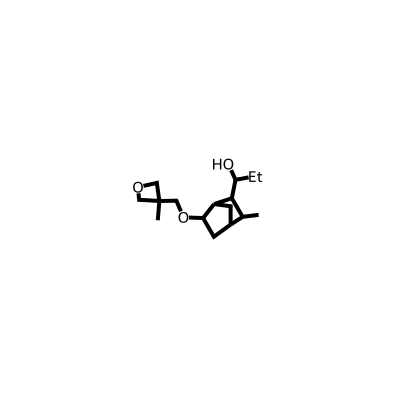 CCC(O)C1C(C)C2CC(OCC3(C)COC3)C1C2